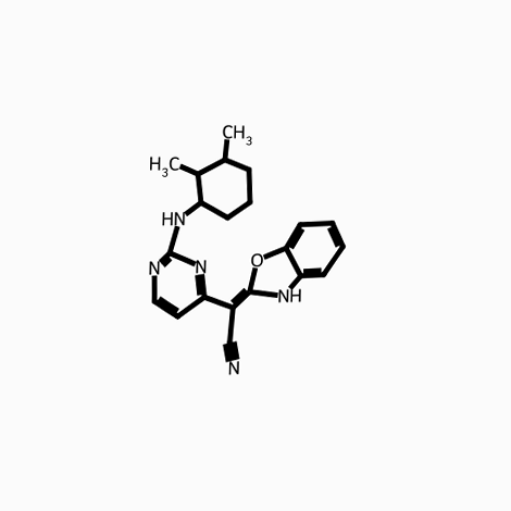 CC1CCCC(Nc2nccc(/C(C#N)=C3/Nc4ccccc4O3)n2)C1C